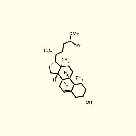 CO[C@H](CC[C@@H](C)[C@H]1CC[C@H]2[C@@H]3CC=C4C[C@@H](O)CC[C@]4(C)[C@H]3CC[C@]12C)C(C)C